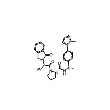 Cc1ncsc1-c1ccc([C@H](C)NC(=O)[C@@H]2CCCN2C(=O)C(C(C)C)N2Cc3ccccc3C2=O)cc1